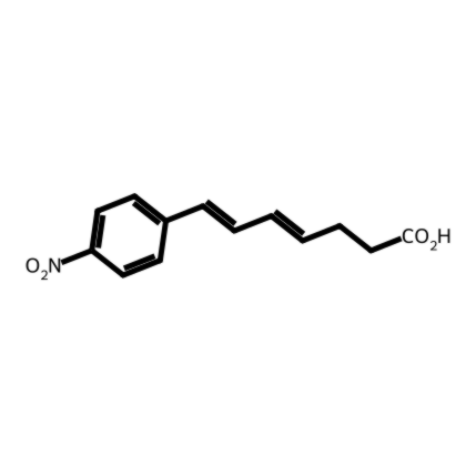 O=C(O)CCC=CC=Cc1ccc([N+](=O)[O-])cc1